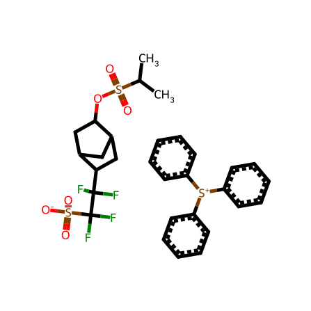 CC(C)S(=O)(=O)OC1CC2CC1CC2C(F)(F)C(F)(F)S(=O)(=O)[O-].c1ccc([S+](c2ccccc2)c2ccccc2)cc1